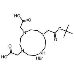 Br.CC(C)(C)OC(=O)CN1CCNCCN(CC(=O)O)CCN(CC(=O)O)CC1